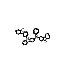 c1ccc(N(c2ccc3sc4ccccc4c3c2)c2ccc3c4ccccc4n(-c4ccc5oc6ccccc6c5c4)c3c2)cc1